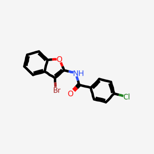 O=C(Nc1oc2ccccc2c1Br)c1ccc(Cl)cc1